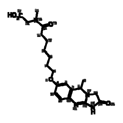 CC1c2cc(OCCCCCCC(=O)N(C)CC(=O)O)ccc2N=C2NC(=O)CN21